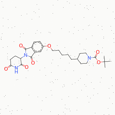 CC(C)(C)OC(=O)N1CCC(CCCCCOc2ccc3c(c2)C(=O)N(C2CCC(=O)NC2=O)C3=O)CC1